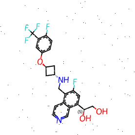 OC[C@@H](O)c1cc(F)c(CN[C@H]2C[C@H](Oc3ccc(F)c(C(F)(F)F)c3)C2)c2ccncc12